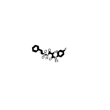 CCCC(C(=O)NS(=O)(=O)/C=C/c1ccccc1)C(=O)N(CC)c1ccc(F)cc1